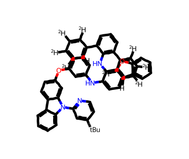 [2H]c1c([2H])c([2H])c(-c2cccc(-c3c([2H])c([2H])c([2H])c([2H])c3[2H])c2Nc2c(Nc3cccc(Oc4ccc5c6ccccc6n(-c6cc(C(C)(C)C)ccn6)c5c4)c3)ccc3c2oc2ccccc23)c([2H])c1[2H]